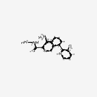 CCCNC(=O)c1ncc2c(-c3ncccc3Cl)cccc2c1N